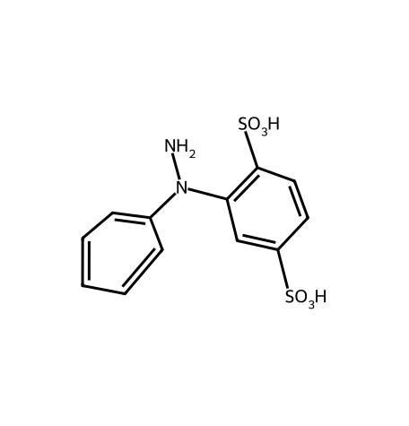 NN(c1ccccc1)c1cc(S(=O)(=O)O)ccc1S(=O)(=O)O